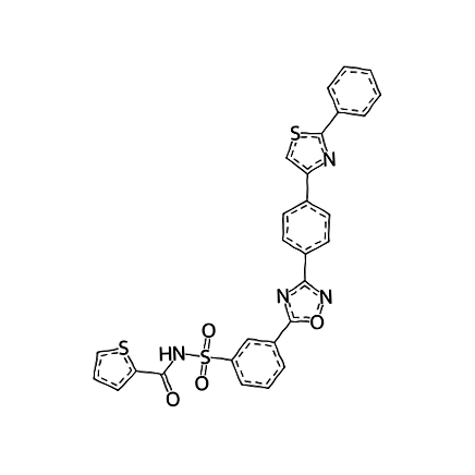 O=C(NS(=O)(=O)c1cccc(-c2nc(-c3ccc(-c4csc(-c5ccccc5)n4)cc3)no2)c1)c1cccs1